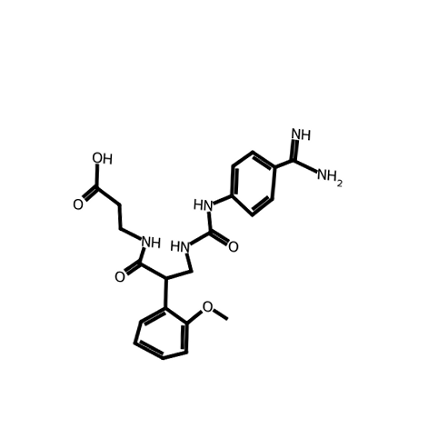 COc1ccccc1C(CNC(=O)Nc1ccc(C(=N)N)cc1)C(=O)NCCC(=O)O